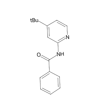 CC(C)(C)c1ccnc(NC(=O)c2ccccc2)c1